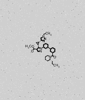 CCC[C@@H]1CCCCN1C(=O)c1cccc(-c2cccc(-n3ncc(C(=O)OC)c3[C@H]3C[C@@H]3c3cn(CC)nn3)c2)c1